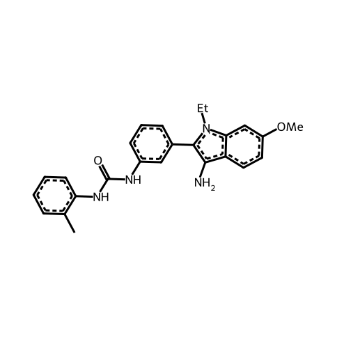 CCn1c(-c2cccc(NC(=O)Nc3ccccc3C)c2)c(N)c2ccc(OC)cc21